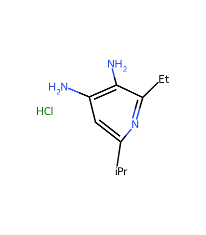 CCc1nc(C(C)C)cc(N)c1N.Cl